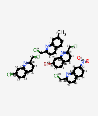 Cc1ccc2ccc(CCl)nc2c1.ClCc1ccc2ccc(Br)cc2n1.ClCc1ccc2ccc(Cl)cc2n1.O=[N+]([O-])c1ccc2ccc(CCl)nc2c1